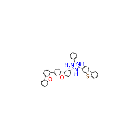 NC(NC(NCc1ccccc1)c1ccc2c(c1)sc1ccccc12)c1ccc2oc3cc(-c4cccc5c4oc4ccccc45)ccc3c2c1